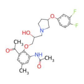 CC(=O)Nc1cc(C)cc(C(C)=O)c1OCC(O)CN1CCC(Oc2ccc(F)c(F)c2)C1